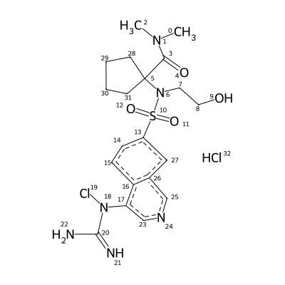 CN(C)C(=O)C1(N(CCO)S(=O)(=O)c2ccc3c(N(Cl)C(=N)N)cncc3c2)CCCC1.Cl